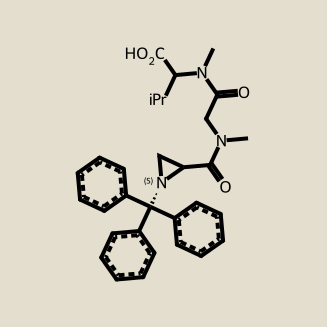 CC(C)C(C(=O)O)N(C)C(=O)CN(C)C(=O)C1C[N@@]1C(c1ccccc1)(c1ccccc1)c1ccccc1